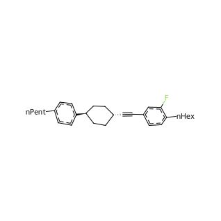 CCCCCCc1ccc(C#C[C@H]2CC[C@H](c3ccc(CCCCC)cc3)CC2)cc1F